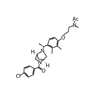 CC(=O)N(C)CCCOc1ccc([C@H](C)N2C[C@@H]3C[C@H]2CN3C(=O)c2ccc(Cl)cc2)c(C)c1C